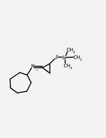 C[Si](C)(C)SC1C/C1=N\C1CCCCCC1